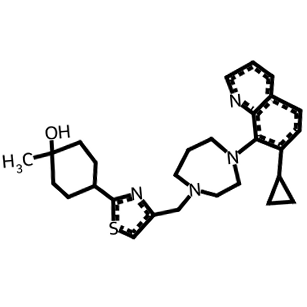 CC1(O)CCC(c2nc(CN3CCCN(c4c(C5CC5)ccc5cccnc45)CC3)cs2)CC1